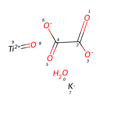 O.O=C([O-])C(=O)[O-].[K].[O]=[Ti+2]